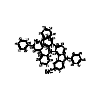 N#Cc1ccc2c(c1)c1c(ccc3c4ccccc4n(-c4ccccc4-c4cc(-c5ccccc5)nc(-c5ccccc5)c4)c31)n2-c1ccccc1